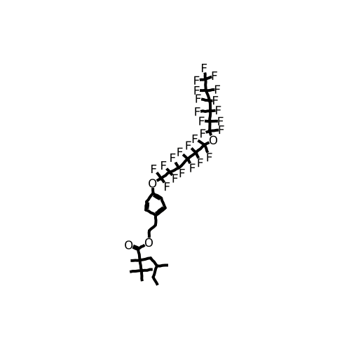 CCC(C)CC(C)(C(=O)OCCc1ccc(OC(F)(F)C(F)(F)C(F)(F)C(F)(F)C(F)(F)C(F)(F)OC(F)(F)C(F)(F)C(F)(F)C(F)(F)C(F)(F)C(F)(F)F)cc1)C(C)(C)C